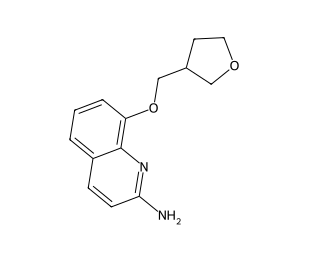 Nc1ccc2cccc(OCC3CCOC3)c2n1